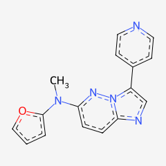 CN(c1ccc2ncc(-c3ccncc3)n2n1)c1ccco1